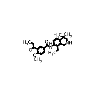 CCC(=O)c1cc(C(=O)Nc2ccc3c(c2CC)CNCC3(C)C)ccc1OC